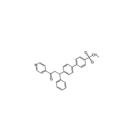 CS(=O)(=O)c1ccc(-c2ccc(C(CC(=O)c3ccncc3)c3ccccc3)cc2)cc1